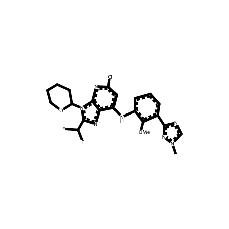 COc1c(Nc2cc(Cl)nc3c2nc(C(F)F)n3C2CCCCO2)cccc1-c1ncn(C)n1